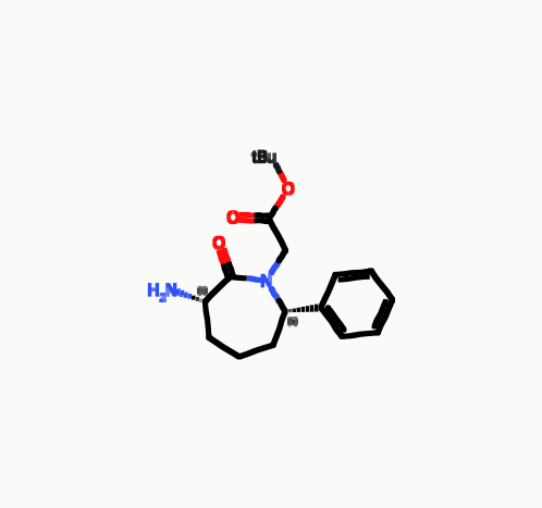 CC(C)(C)OC(=O)CN1C(=O)[C@@H](N)CCC[C@H]1c1ccccc1